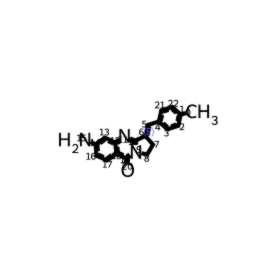 Cc1ccc(/C=C2\CCn3c2nc2cc(N)ccc2c3=O)cc1